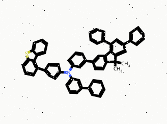 CC1(C)c2ccc(-c3cccc(N(c4ccc(-c5cccc6sc7ccccc7c56)cc4)c4cccc(-c5ccccc5)c4)c3)cc2-c2c(-c3ccccc3)cc(-c3ccccc3)cc21